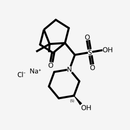 CC1(C)C2CCC1(C(N1CCC[C@H](O)C1)S(=O)(=O)O)C(=O)C2.[Cl-].[Na+]